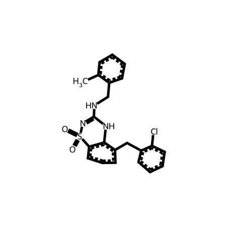 Cc1ccccc1CNC1=NS(=O)(=O)c2cccc(Cc3ccccc3Cl)c2N1